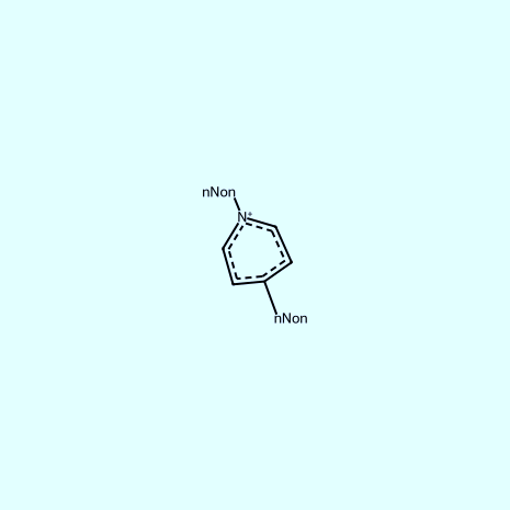 CCCCCCCCCc1cc[n+](CCCCCCCCC)cc1